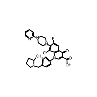 CC1CCCN1Cc1ccc(-n2cc(C(=O)O)c(=O)c3cc(F)c(N4CCN(c5ccccn5)CC4)c(Cl)c32)cc1